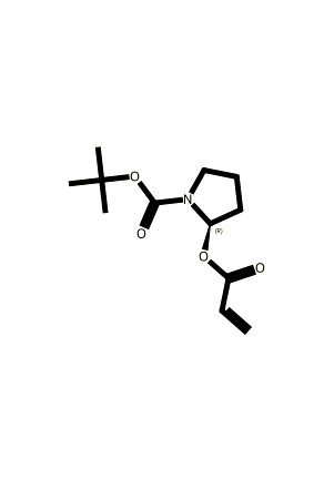 C=CC(=O)O[C@@H]1CCCN1C(=O)OC(C)(C)C